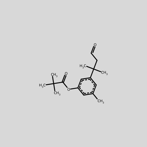 Cc1cc(OC(=O)C(C)(C)C)cc(C(C)(C)CC=O)c1